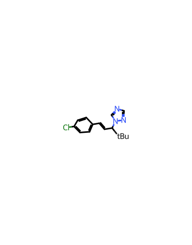 CC(C)(C)C(C=Cc1ccc(Cl)cc1)n1cncn1